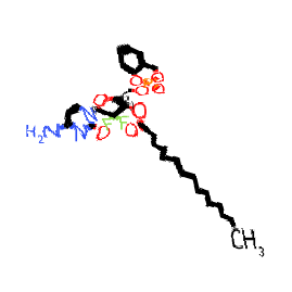 CCCCCCCCCCCCCCC(=O)O[C@@H]1[C@@H](COP2(=O)OCc3ccccc3O2)O[C@@H](n2ccc(N)nc2=O)C1(F)F